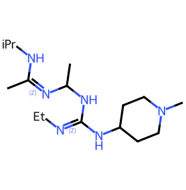 CC/N=C(/NC1CCN(C)CC1)NC(C)/N=C(/C)NC(C)C